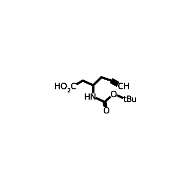 C#CCC(CC(=O)O)NC(=O)OC(C)(C)C